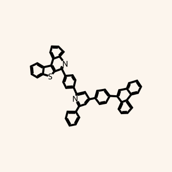 c1ccc(-c2cc(-c3ccc(-c4cc5ccccc5c5ccccc45)cc3)cc(-c3ccc(-c4nc5ccccc5c5c4sc4ccccc45)cc3)n2)cc1